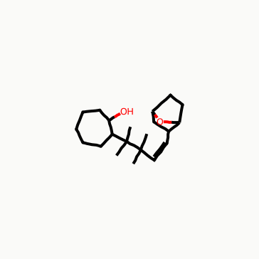 CC(C)(/C=C\C1CC2CCC1O2)C(C)(C)C1CCCCCC1O